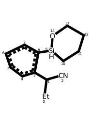 CCC(C#N)c1ccccc1[SiH]1CCCCO1